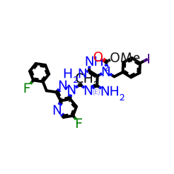 C=C(/N=C(/N)C(=C(N)N)N(Cc1ccc(I)cc1)C(=O)OC)n1nc(Cc2ccccc2F)c2ncc(F)cc21